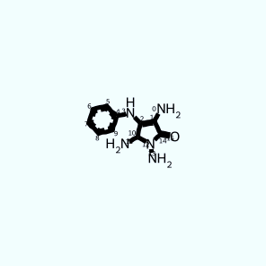 NC1=C(Nc2ccccc2)C(N)N(N)C1=O